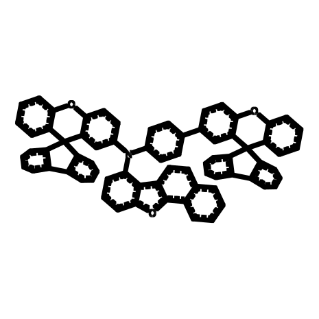 c1ccc2c(c1)Oc1ccc(-c3ccc(N(c4ccc5c(c4)C4(c6ccccc6O5)c5ccccc5-c5ccccc54)c4cccc5oc6c7ccccc7ccc6c45)cc3)cc1C21c2ccccc2-c2ccccc21